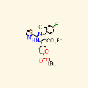 CCOC(=O)C1=C(C2CCC(C(=O)OC(C)(C)C)OC2)NC(c2nccs2)=NC1c1ccc(F)cc1Cl